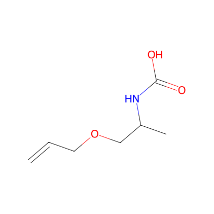 C=CCOCC(C)NC(=O)O